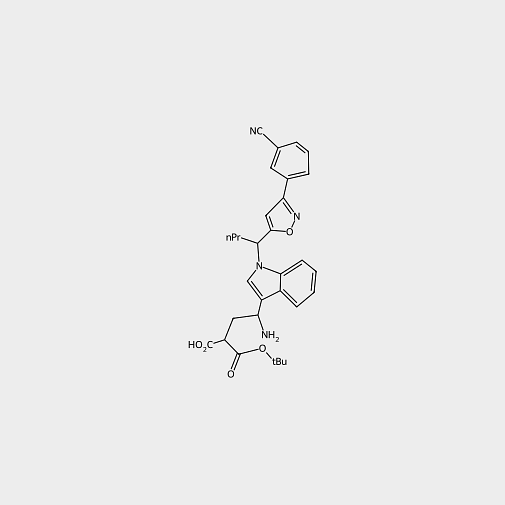 CCCC(c1cc(-c2cccc(C#N)c2)no1)n1cc(C(N)CC(C(=O)O)C(=O)OC(C)(C)C)c2ccccc21